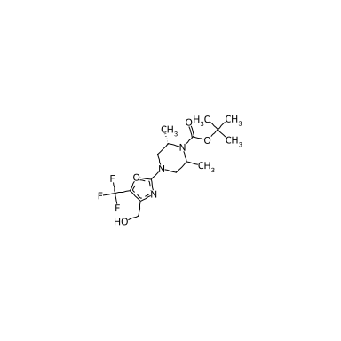 CC1CN(c2nc(CO)c(C(F)(F)F)o2)C[C@H](C)N1C(=O)OC(C)(C)C